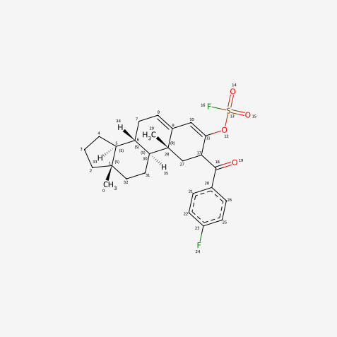 C[C@@]12CCC[C@H]1[C@@H]1CC=C3C=C(OS(=O)(=O)F)C(C(=O)c4ccc(F)cc4)C[C@]3(C)[C@H]1CC2